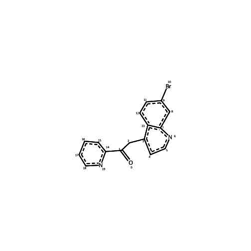 O=C(Cc1ccnc2cc(Br)ccc12)c1ccccn1